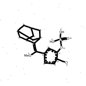 COC(=C1C2CC3CC(C2)CC1C3)c1ccc(Cl)c(OP(=O)(O)O)c1